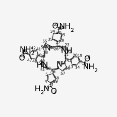 NC(=O)c1ccc(-c2c3nc(c(-c4ccc(C(N)=O)cc4)c4ccc([nH]4)c(-c4ccc(C(N)=O)cc4)c4nc(c(-c5ccc(C(N)=O)cc5)c5ccc2[nH]5)C=C4)C=C3)cc1